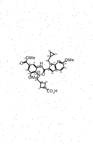 COC(=O)c1cc(NC(=O)c2cc3ccc(OC)nc3n2CC2CC2)c(NCC2CN(C(=O)O)C2)c(OC)c1